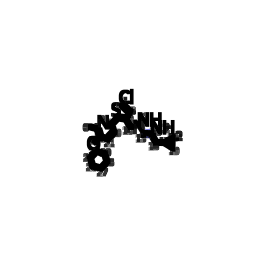 Cc1nc(-c2sc(Cl)cc2CN(N)/C=C(\N)CC2CC2)ccc1OC1CCCCC1